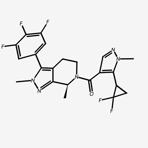 C[C@H]1c2nn(C)c(-c3cc(F)c(F)c(F)c3)c2CCN1C(=O)c1cnn(C)c1C1CC1(F)F